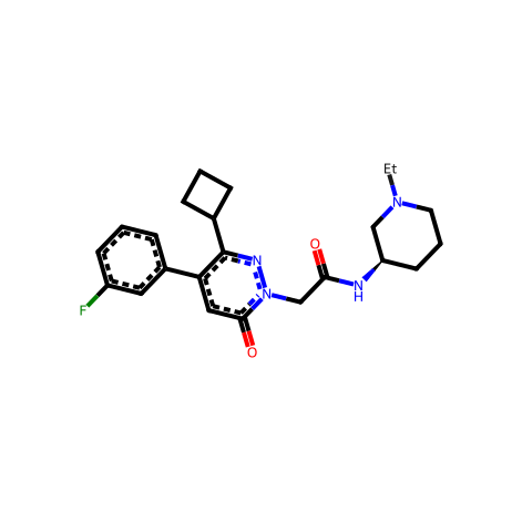 CCN1CCC[C@@H](NC(=O)Cn2nc(C3CCC3)c(-c3cccc(F)c3)cc2=O)C1